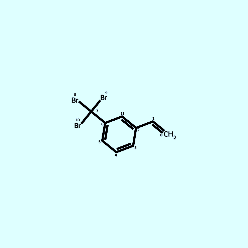 C=Cc1cccc(C(Br)(Br)Br)c1